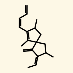 C=C/C=C\C1=C(C)C2(CC1C)CC(C)/C(=C/C)C2=C